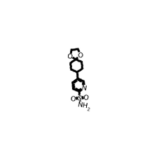 NS(=O)(=O)c1ccc(C2CCC3(CC2)OCCO3)cn1